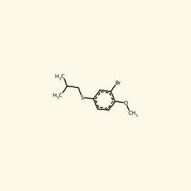 COc1ccc(SCC(C)C)cc1Br